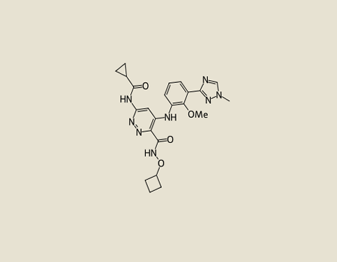 COc1c(Nc2cc(NC(=O)C3CC3)nnc2C(=O)NOC2CCC2)cccc1-c1ncn(C)n1